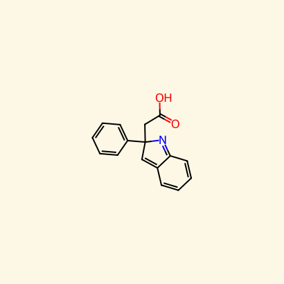 O=C(O)CC1(c2ccccc2)C=c2ccccc2=N1